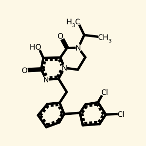 CC(C)N1CCn2c(Cc3ccccc3-c3ccc(Cl)c(Cl)c3)nc(=O)c(O)c2C1=O